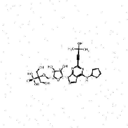 CC(C)(O)C#Cc1nc(NC2CCCC2)c2cnn([C@@H]3O[C@H](COC(CO)(CO)P(=O)(O)O)[C@@H](O)[C@H]3O)c2n1